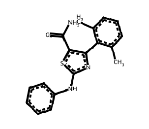 Cc1cccc(C)c1-c1nc(Nc2ccccc2)sc1C(N)=O